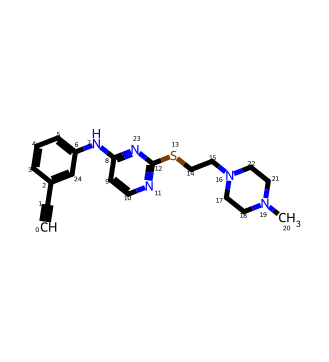 C#Cc1cccc(Nc2ccnc(SCCN3CCN(C)CC3)n2)c1